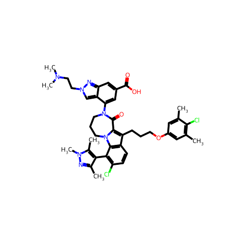 Cc1cc(OCCCc2c3n(c4c(-c5c(C)nn(C)c5C)c(Cl)ccc24)CCCN(c2cc(C(=O)O)cc4nn(CCN(C)C)cc24)C3=O)cc(C)c1Cl